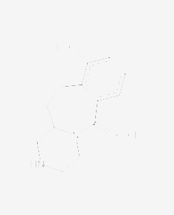 Cc1cccc2c1OCC1CNCCN1C2=O.Cl